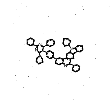 c1ccc(-c2nc(-c3ccccc3)c(-c3ccc(-c4ccc5nc(-c6ccccc6)c6cc7c8ccccc8n(-c8ccccc8)c7cc6c5c4)cc3)c(-c3ccccc3)n2)cc1